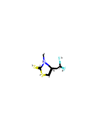 CN1C(=S)SCC1C(F)F